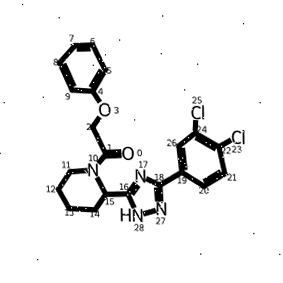 O=C(COc1ccccc1)N1CCCCC1c1nc(-c2ccc(Cl)c(Cl)c2)n[nH]1